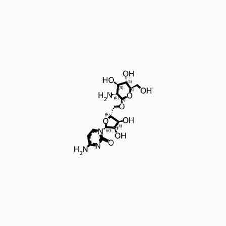 Nc1ccn([C@@H]2O[C@H](CO[C@@H]3O[C@H](CO)[C@@H](O)[C@H](O)[C@H]3N)[C@@H](O)[C@H]2O)c(=O)n1